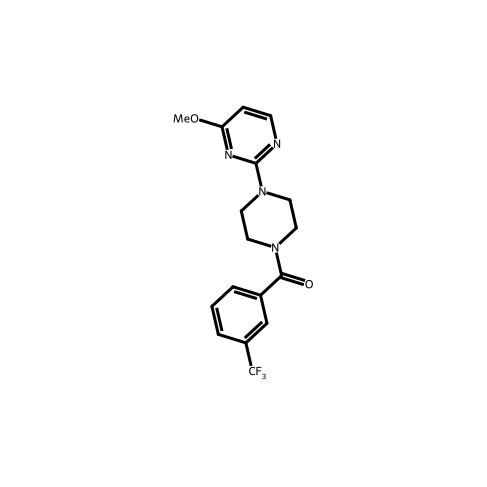 COc1ccnc(N2CCN(C(=O)c3cccc(C(F)(F)F)c3)CC2)n1